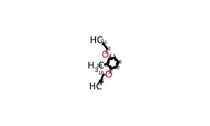 C#CCOc1cccc(OCC#C)c1C